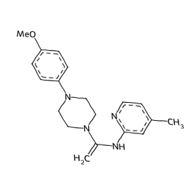 C=C(Nc1cc(C)ccn1)N1CCN(c2ccc(OC)cc2)CC1